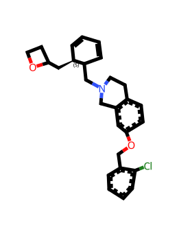 Clc1ccccc1COc1ccc2c(c1)CN(CC1C=CC=C[C@@H]1CC1CCO1)CC2